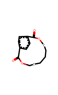 O=C1OCCCCCCOC(=O)c2ccc1cc2